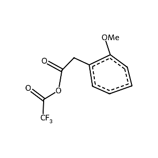 COc1ccccc1CC(=O)OC(=O)C(F)(F)F